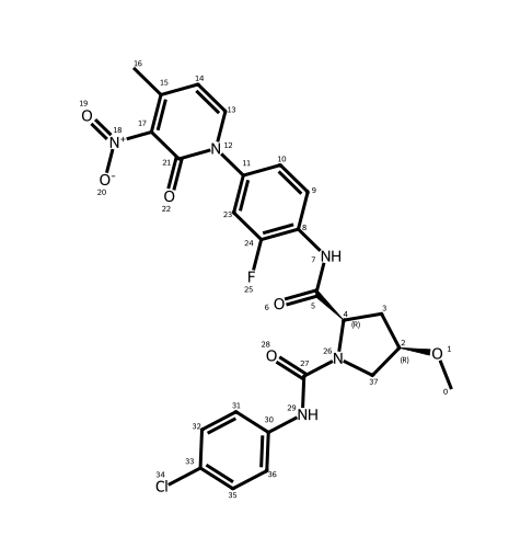 CO[C@@H]1C[C@H](C(=O)Nc2ccc(-n3ccc(C)c([N+](=O)[O-])c3=O)cc2F)N(C(=O)Nc2ccc(Cl)cc2)C1